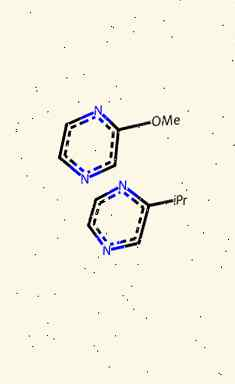 CC(C)c1cnccn1.COc1cnccn1